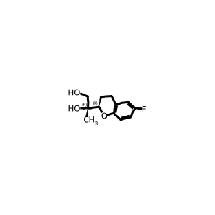 C[C@@](O)(CO)[C@H]1CCc2cc(F)ccc2O1